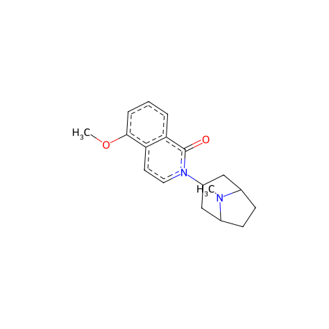 COc1cccc2c(=O)n(C3CC4CCC(C3)N4C)ccc12